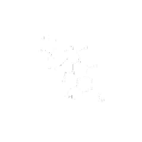 CCC(=NO)c1nc(C)nc2c1C(C)(O)C(=O)N2c1c(OC)cc(OC)cc1OC